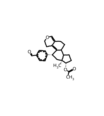 CC(=O)O[C@H]1CCC2C3CCC4=COCCC4=C3[C@@H](c3ccc(C=O)cc3)C[C@@]21C